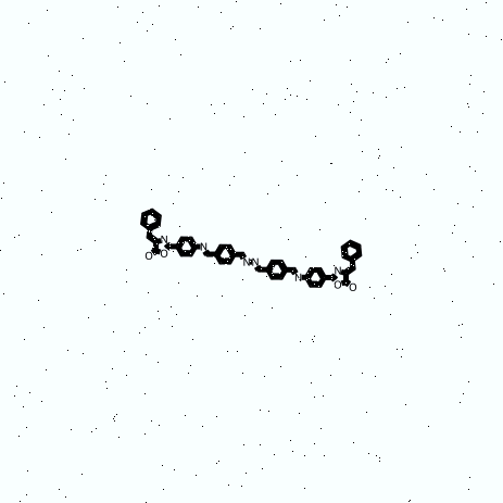 O=C1OC(c2ccc(/N=C/c3ccc(/C=N/N=C/c4ccc(/C=N/c5ccc(C6=N/C(=C\c7ccccc7)C(=O)O6)cc5)cc4)cc3)cc2)=N/C1=C\c1ccccc1